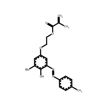 C=C(C)C(=O)OCCOc1cc(N=Nc2ccc(C)cc2)c(O)c(C(C)(C)C)c1